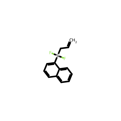 C=CC[Si](F)(F)c1cccc2ccccc12